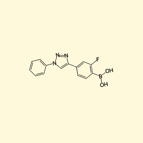 OB(O)c1ccc(-c2cn(-c3ccccc3)nn2)cc1F